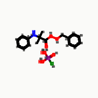 CC(C)(Nc1ccccc1)C(=O)OOCc1ccccc1.O=P(O)(O)Cl